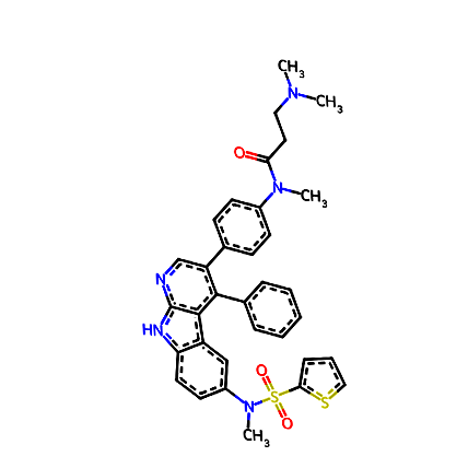 CN(C)CCC(=O)N(C)c1ccc(-c2cnc3[nH]c4ccc(N(C)S(=O)(=O)c5cccs5)cc4c3c2-c2ccccc2)cc1